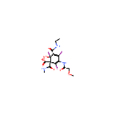 CCNC(=O)C1=C(I)C(NC(=O)COC)=C(I)C(C(=O)O)(C(=O)NC)C1(O)I